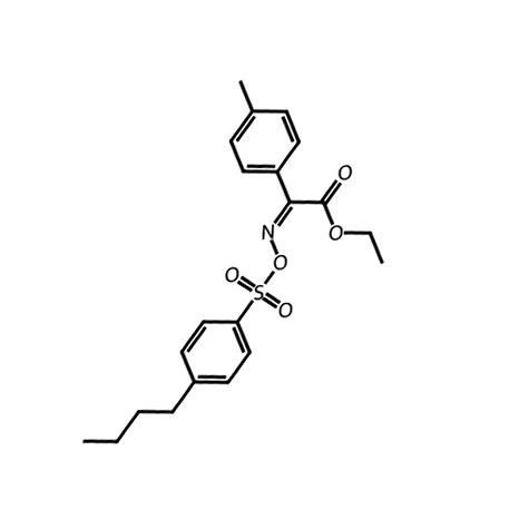 CCCCc1ccc(S(=O)(=O)ON=C(C(=O)OCC)c2ccc(C)cc2)cc1